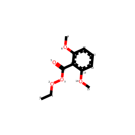 [CH2]COOC(=O)c1c(OC)cccc1OC